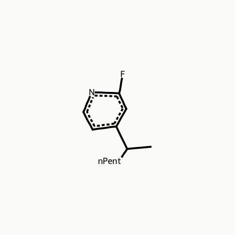 CCCCCC(C)c1ccnc(F)c1